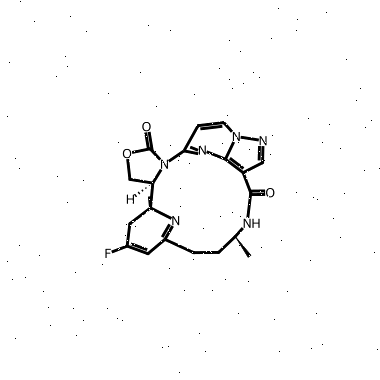 C[C@H]1CCC2=NC(C)(CC(F)=C2)[C@H]2COC(=O)N2c2ccn3ncc(c3n2)C(=O)N1